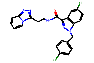 O=C(NCCc1nnc2ccccn12)c1nn(Cc2ccc(Cl)cc2)c2ccc(Cl)cc12